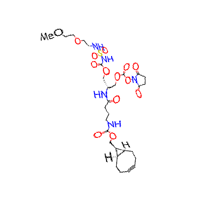 COCCOCCNS(=O)(=O)NC(=O)OC[C@H](COC(=O)ON1C(=O)CCC1=O)NC(=O)CCCNC(=O)OC[C@@H]1[C@@H]2CCC#CCC[C@@H]21